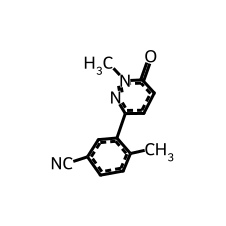 Cc1ccc(C#N)cc1-c1ccc(=O)n(C)n1